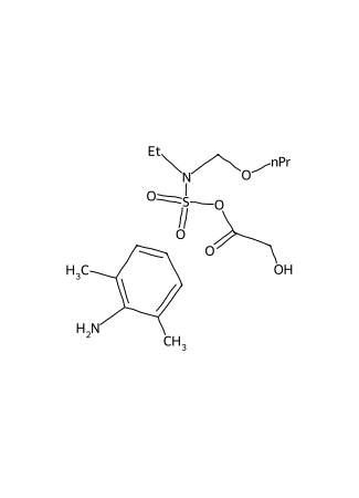 CCCOCN(CC)S(=O)(=O)OC(=O)CO.Cc1cccc(C)c1N